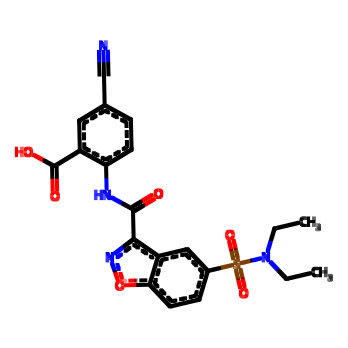 CCN(CC)S(=O)(=O)c1ccc2onc(C(=O)Nc3ccc(C#N)cc3C(=O)O)c2c1